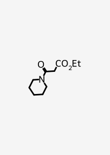 CCOC(=O)CC(=O)N1CCCCC1